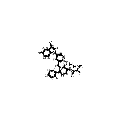 CNC(C)C(=O)Nc1cnc(-c2ccccc2)n(Cc2cncc(-n3cc(C)c4cc(F)ccc43)c2)c1=O